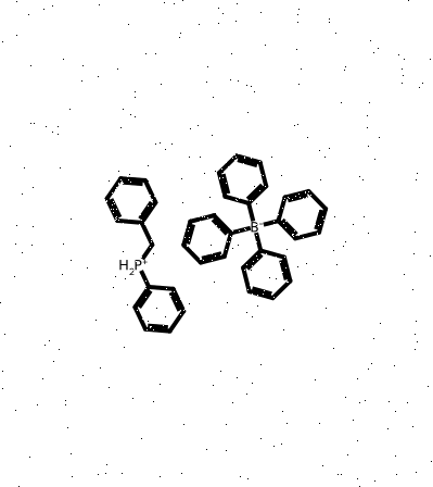 c1ccc(C[PH2+]c2ccccc2)cc1.c1ccc([B-](c2ccccc2)(c2ccccc2)c2ccccc2)cc1